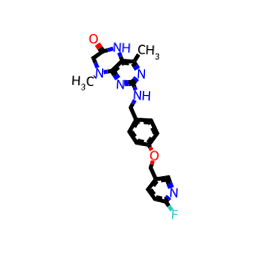 Cc1nc(NCc2ccc(OCc3ccc(F)nc3)cc2)nc2c1NC(=O)CN2C